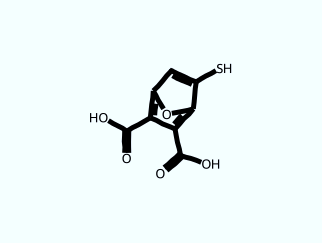 O=C(O)c1c(C(=O)O)c2oc1cc2S